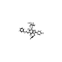 CC#CCn1c(N2CCNCC2)nc2c1c(=O)n(CCOc1ccccc1)c(=O)n2C.O=C(O)C(F)(F)F